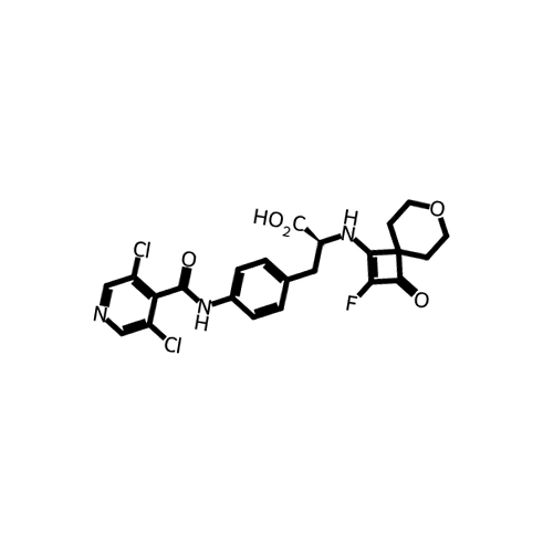 O=C(Nc1ccc(C[C@H](NC2=C(F)C(=O)C23CCOCC3)C(=O)O)cc1)c1c(Cl)cncc1Cl